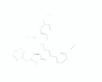 COc1ccc(CNN2C=C(c3cccc(C#N)c3)C=C3NN(Cc4ccccn4)N=C32)c(OC)c1